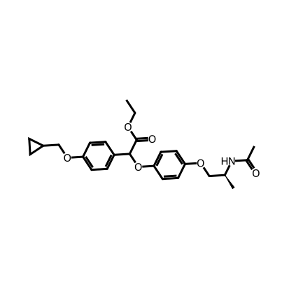 CCOC(=O)C(Oc1ccc(OC[C@H](C)NC(C)=O)cc1)c1ccc(OCC2CC2)cc1